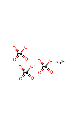 [O]=[Mn](=[O])(=[O])[O-].[O]=[Mn](=[O])(=[O])[O-].[O]=[Mn](=[O])(=[O])[O-].[Sb+3]